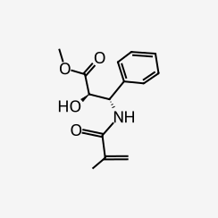 C=C(C)C(=O)N[C@@H](c1ccccc1)[C@@H](O)C(=O)OC